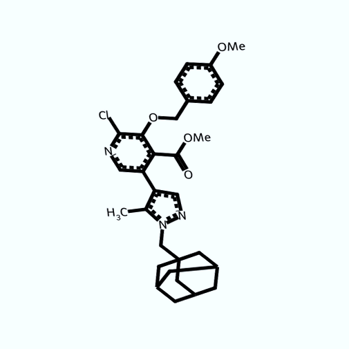 COC(=O)c1c(-c2cnn(CC34CC5CC(CC(C5)C3)C4)c2C)cnc(Cl)c1OCc1ccc(OC)cc1